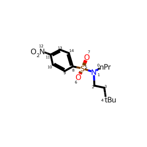 CCCN(CCC(C)(C)C)S(=O)(=O)c1ccc([N+](=O)[O-])cc1